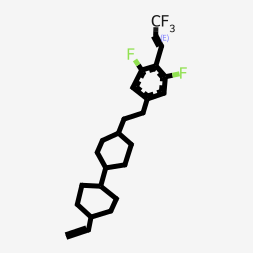 C=CC1CCC(C2CCC(CCc3cc(F)c(/C=C/C(F)(F)F)c(F)c3)CC2)CC1